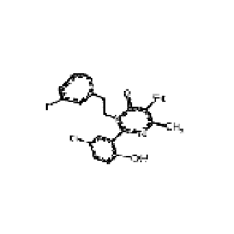 CCc1c(C)nc(-c2cc(Cl)ccc2O)n(CCc2cccc(F)c2)c1=O